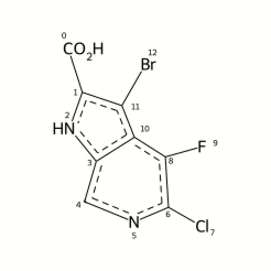 O=C(O)c1[nH]c2cnc(Cl)c(F)c2c1Br